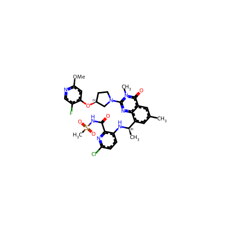 COc1cc(O[C@H]2CCN(c3nc4c([C@@H](C)Nc5ccc(Cl)nc5C(=O)NS(C)(=O)=O)cc(C)cc4c(=O)n3C)C2)c(F)cn1